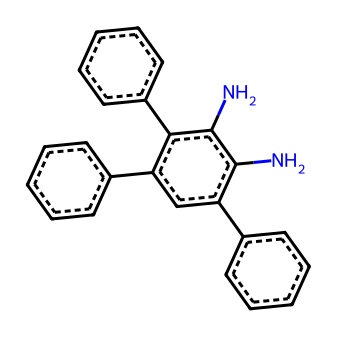 Nc1c(-c2ccccc2)cc(-c2ccccc2)c(-c2ccccc2)c1N